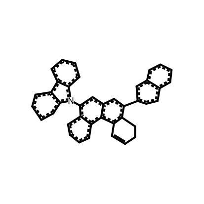 C1=Cc2c(c(-c3ccc4ccccc4c3)cc3cc(-n4c5ccccc5c5ccccc54)c4ccccc4c23)CC1